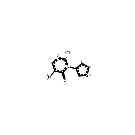 Cl.Nc1cncn(-c2ccsc2)c1=O